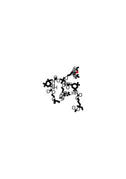 C=CC(=C)OCCOC(=O)NC1CC(C)(C)CC(C)(CNC(=O)OCC(COCCC[Si](C)(O[Si](C)(C)C)O[Si](C)(C)C)(COCCC[Si](C)(O[Si](C)(C)C)O[Si](C)(C)C)COC(=O)NC2CC(C)(C)CC(C)(CNC(=O)OCCCC(C)(CC)OC(C)=O)C2)C1